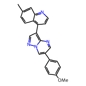 COc1ccc(-c2cnc3c(-c4ccnc5cc(C)ccc45)cnn3c2)cc1